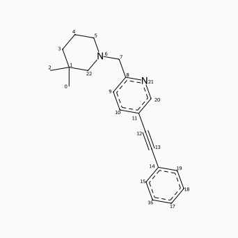 CC1(C)CCCN(Cc2ccc(C#Cc3ccccc3)cn2)C1